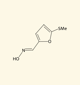 CSc1ccc(C=NO)o1